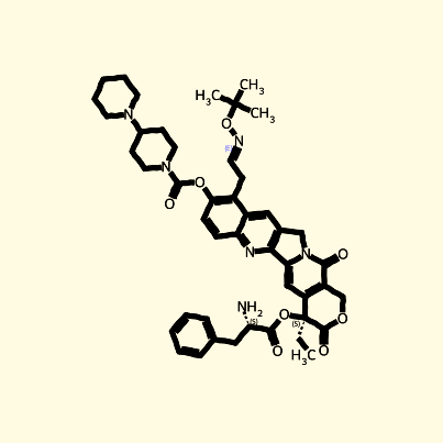 CC[C@@]1(OC(=O)[C@@H](N)Cc2ccccc2)C(=O)OCc2c1cc1n(c2=O)Cc2cc3c(C/C=N/OC(C)(C)C)c(OC(=O)N4CCC(N5CCCCC5)CC4)ccc3nc2-1